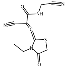 CCN1C(=O)CSC1=C=C(C#N)C(=O)NCC#N